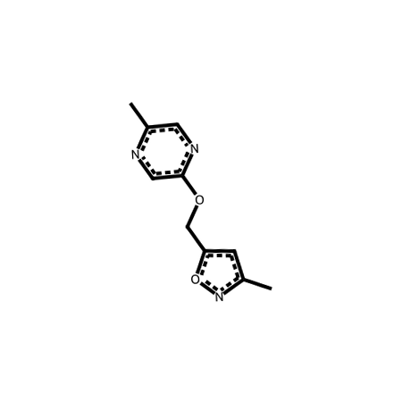 Cc1cnc(OCc2cc(C)no2)cn1